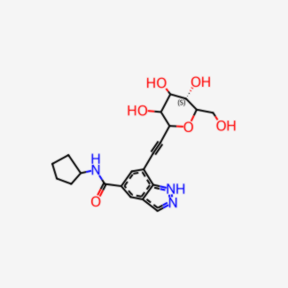 O=C(NC1CCCC1)c1cc(C#CC2OC(CO)[C@@H](O)C(O)C2O)c2[nH]ncc2c1